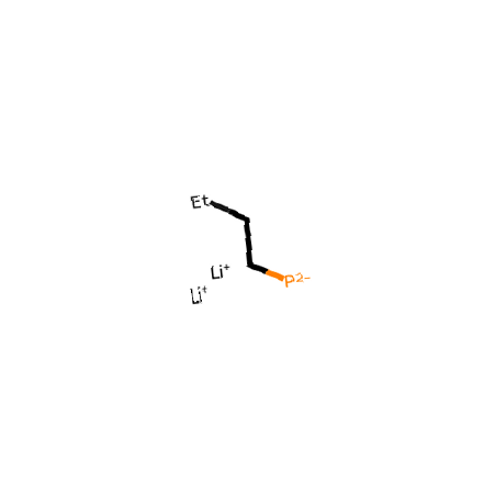 CCCC[P-2].[Li+].[Li+]